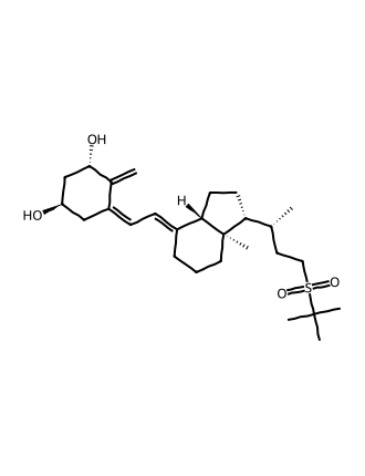 C=C1/C(=C\C=C2/CCC[C@]3(C)[C@@H]([C@H](C)CCS(=O)(=O)C(C)(C)C)CC[C@@H]23)C[C@@H](O)C[C@@H]1O